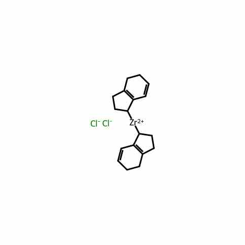 C1=CC2=C(CC1)CC[CH]2[Zr+2][CH]1CCC2=C1C=CCC2.[Cl-].[Cl-]